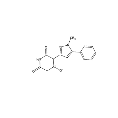 Cn1nc(C2C(=O)NC(=O)C[S+]2[O-])cc1-c1ccccc1